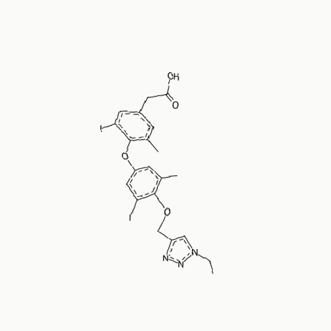 CCn1cc(COc2c(C)cc(Oc3c(C)cc(CC(=O)O)cc3I)cc2I)nn1